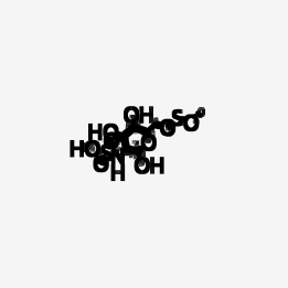 COSOC[C@H]1O[C@H](O)[C@H](NS(=O)(=O)O)[C@@H](O)[C@@H]1O